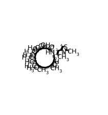 C/C(=C\c1csc(C)n1)[C@@H]1C[C@@H]2O[C@]2(C)CCCC(C)(C)[C@H](C)[C@H](O)[C@@H](C)C(C)(C)C(=O)C(C)(C)[C@@H](O)CC(=O)N1